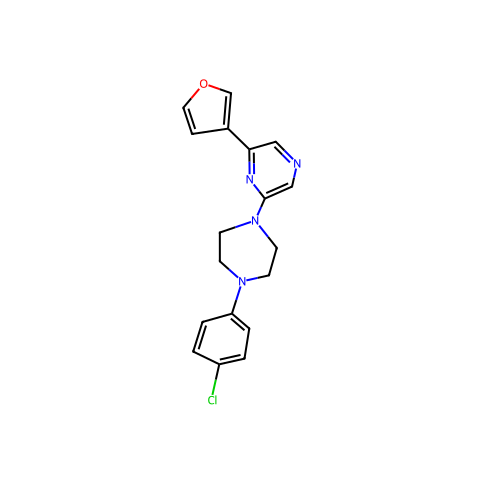 Clc1ccc(N2CCN(c3cncc(-c4ccoc4)n3)CC2)cc1